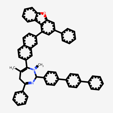 C=[N+]1C(c2ccc3ccc(-c4cc(-c5ccccc5)cc5oc6ccccc6c45)cc3c2)=C(C)CC(c2ccccc2)=NC1c1ccc(-c2ccc(-c3ccccc3)cc2)cc1